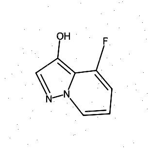 Oc1cnn2cccc(F)c12